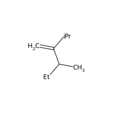 C=C(C(C)C)C(C)CC